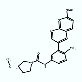 CNc1ncc2cc(-c3cc(NC(=O)N4CC[C@H](OC(F)(F)F)C4)ccc3C)cnc2n1